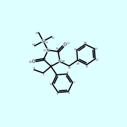 CCC1(c2ccccc2)C(=O)N([Si](C)(C)C)C(=O)N1Cc1ccccc1